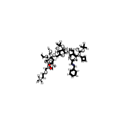 CCOP(=O)(OCC)[C@](COC)(Cc1nnn(COCC[Si](C)(C)C)n1)OCC1O[C@@H](n2ncc3c(N(C(=O)OC(C)(C)C)C4CCC4)nc(/C=C/c4ccccc4)nc32)[C@@H]2OC(C)(C)O[C@H]12